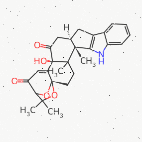 CC1(C)O[C@@]23CCC4(C)[C@@](O)(C(=O)C[C@H]5Cc6c([nH]c7ccccc67)[C@@]54C)C2=CC(=O)C1O3